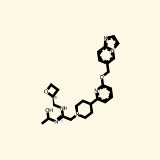 CC(O)/N=C(/CN1CCC(c2cccc(OCc3ccc4nccn4c3)n2)CC1)NC[C@@H]1CCO1